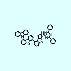 C1=c2c(sc3cccc(-c4cccc5c4sc4cccc(-n6c7ccccc7c7ccccc76)c45)c23)=C(C2=NC(c3ccccc3)=NC(c3ccccc3)N2)C1